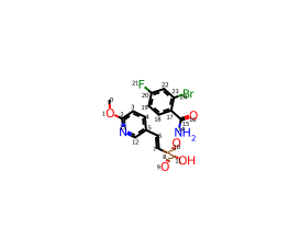 COc1ccc(/C=C/S(=O)(=O)O)cn1.NC(=O)c1ccc(F)cc1Br